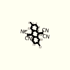 Cc1ccc2c(=C(C#N)C#N)c3cc(C)ccc3c(=C(C#N)C#N)c2c1